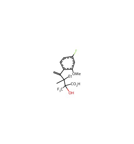 C=C(c1ccc(F)cc1OC)C(C)(CC)C(O)(C(=O)O)C(F)(F)F